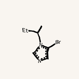 CCC(C)n1cncc1Br